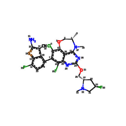 C[C@H]1COc2c(Cl)c(-c3ccc(F)c4sc(N)c(C#N)c34)c(F)c3nc(OC[C@@H]4C[C@@H](F)CN4C)nc(c23)N1C